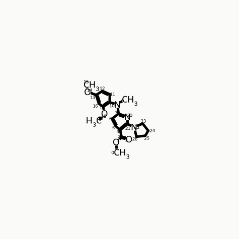 COC(=O)c1ccc(N(C)c2ccc(OC)cc2OC)nc1N1CCCC1